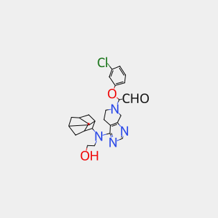 O=CC(Oc1cccc(Cl)c1)N1CCc2c(ncnc2N(CCO)C2C3CC4CC(C3)CC2C4)C1